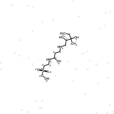 CCC(C)(O)C(O)CNCCC(O)NCCS(=O)(=S)OO